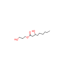 CCCCCCC(O)CC(=O)OCCCO